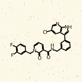 O=C(NCc1cccc(-c2c[nH]c3ncc(Cl)cc23)c1)c1cccn(Cc2ccc(F)c(F)c2)c1=O